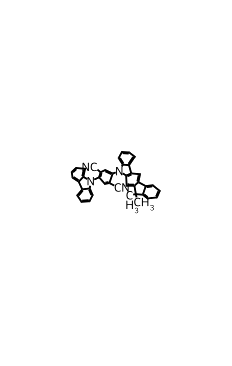 CC1(C)c2ccccc2-c2cc3c4ccccc4n(-c4cc(C#N)c(-n5c6ccccc6c6ccccc65)cc4C#N)c3cc21